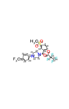 CS(=O)(=O)c1ccc(OCC(F)(F)C(F)F)c(C(=O)N2CCN(c3ccc(C(F)(F)F)cc3)CC2)c1